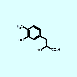 Cc1ccc(CC(O)C(=O)O)cc1O